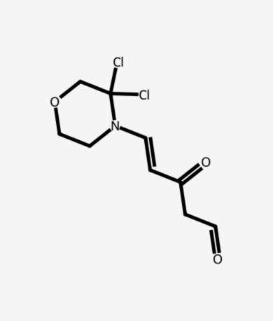 O=CCC(=O)C=CN1CCOCC1(Cl)Cl